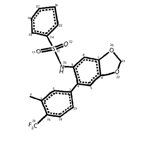 Cc1cc(-c2cc3c(cc2NS(=O)(=O)c2ccccc2)OCO3)ccc1C(F)(F)F